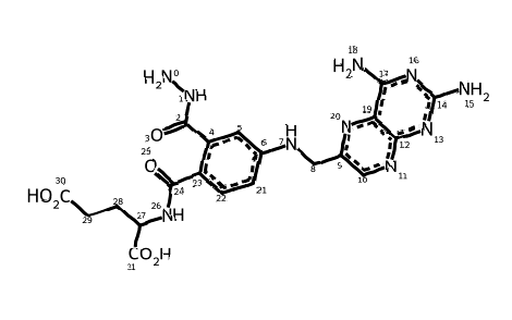 NNC(=O)c1cc(NCc2cnc3nc(N)nc(N)c3n2)ccc1C(=O)NC(CCC(=O)O)C(=O)O